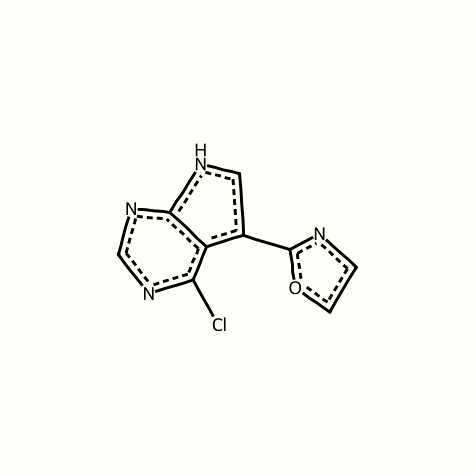 Clc1ncnc2[nH]cc(-c3ncco3)c12